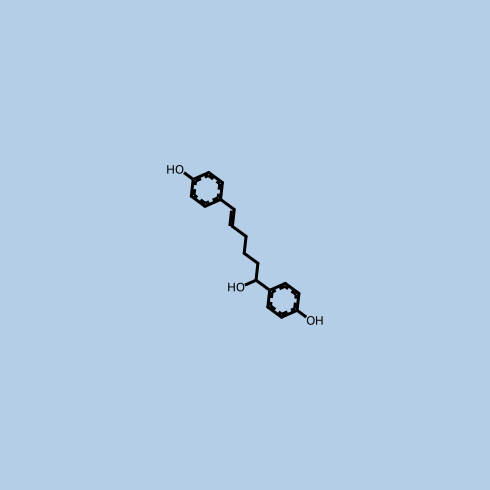 Oc1ccc(C=CCCCC(O)c2ccc(O)cc2)cc1